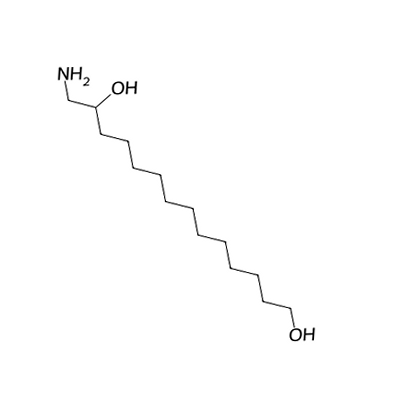 NCC(O)CCCCCCCCCCCCO